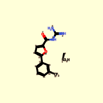 CS(=O)(=O)O.N=C(N)NC(=O)c1ccc(-c2cccc(C(F)(F)F)c2)o1